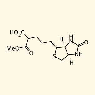 COC(=O)C(CCC[C@@H]1SC[C@@H]2NC(=O)N[C@@H]21)C(=O)O